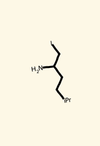 CC(C)CCC(N)CI